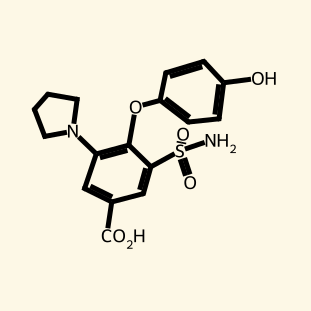 NS(=O)(=O)c1cc(C(=O)O)cc(N2CCCC2)c1Oc1ccc(O)cc1